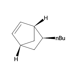 CCCC[C@H]1C[C@@H]2C=C[C@H]1C2